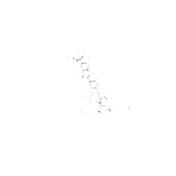 C/C(=C\c1ccc(C(=O)Oc2ccc(C(=N)N)cc2)cc1)C(=O)N[C@@H](CCC(=O)O)C(=O)O